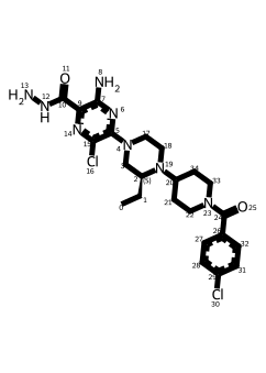 CC[C@H]1CN(c2nc(N)c(C(=O)NN)nc2Cl)CCN1C1CCN(C(=O)c2ccc(Cl)cc2)CC1